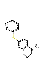 CC[C@@H]1CCCc2cc(Sc3ccccc3)ccc21